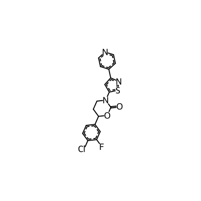 O=C1OC(c2ccc(Cl)c(F)c2)CCN1c1cc(-c2ccncc2)ns1